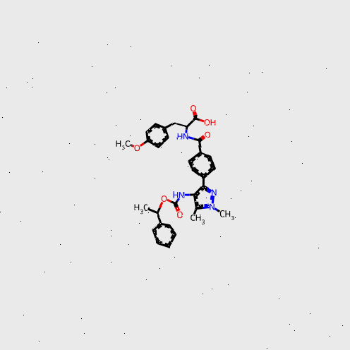 COc1ccc(CC(NC(=O)c2ccc(-c3nn(C)c(C)c3NC(=O)OC(C)c3ccccc3)cc2)C(=O)O)cc1